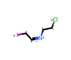 ClCC/N=C\CI